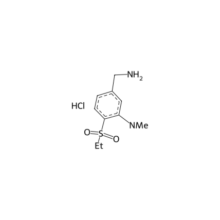 CCS(=O)(=O)c1ccc(CN)cc1NC.Cl